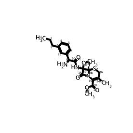 CCCc1cccc(C(N)C(=O)NC2(OC)C(=O)N3C(C(=O)OC)=C(C)CS[C@H]32)c1